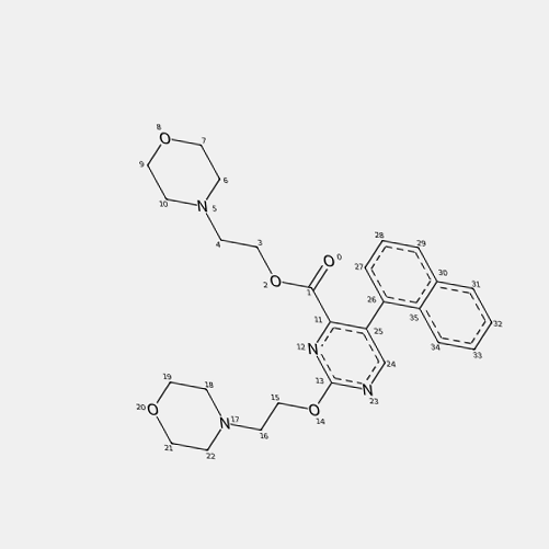 O=C(OCCN1CCOCC1)c1nc(OCCN2CCOCC2)ncc1-c1cccc2ccccc12